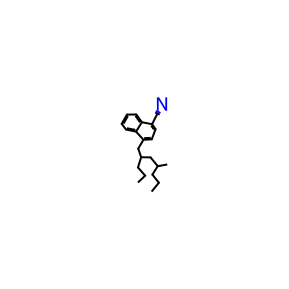 CCCC(C)CC(CCC)Cc1ccc(C#N)c2ccccc12